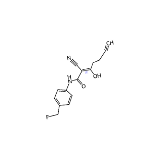 C#CCC/C(O)=C(\C#N)C(=O)Nc1ccc(CF)cc1